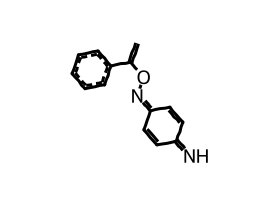 C=C(ON=C1C=CC(=N)C=C1)c1ccccc1